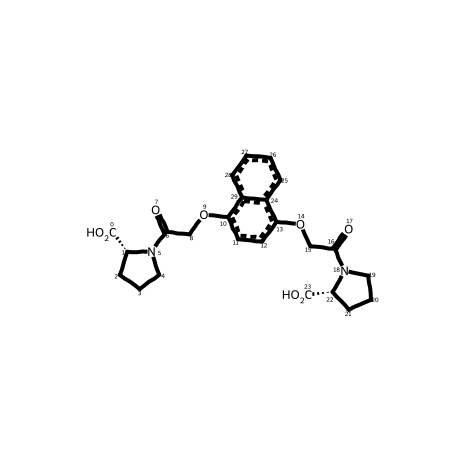 O=C(O)[C@H]1CCCN1C(=O)COc1ccc(OCC(=O)N2CCC[C@@H]2C(=O)O)c2ccccc12